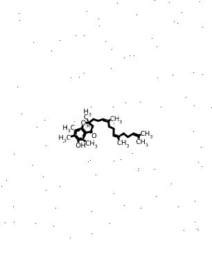 CC(C)=CCCC(C)=CCCC(C)=CCC[C@]1(C)CC(=O)c2c(C)c(O)c(C)c(C)c2O1